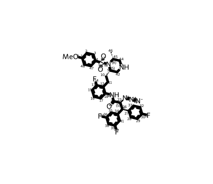 COc1ccc(S(=O)(=O)N2[C@@H](CCc3c(F)cccc3NC(=O)[C@@H](N=[N+]=[N-])[C@@H](c3ccc(F)cc3)c3cc(F)cc(F)c3)CNC[C@H]2C)cc1